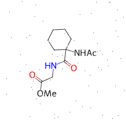 COC(=O)CNC(=O)C1(NC(C)=O)CCCCC1